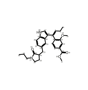 CCC=C(c1ccc(C(=O)OC)cc1OC)c1c[nH]c2ccc(CC3CCN(CCC)C3=O)cc12